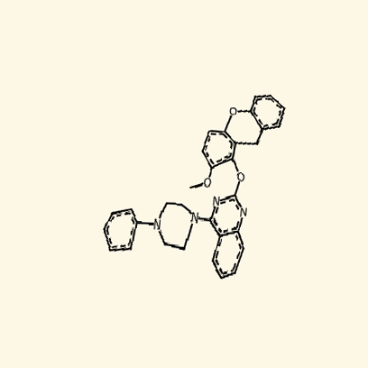 COc1ccc2c(c1Oc1nc(N3CCN(c4ccccc4)CC3)c3ccccc3n1)Cc1ccccc1O2